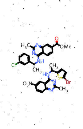 COC(=O)c1ccc2c(N[C@H](C)c3cccc(Cl)c3)nc(C)nc2c1.Cc1nc(NC(C)c2ccc(Br)s2)c2cc([N+](=O)[O-])ccc2n1